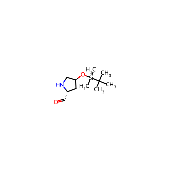 CC(C)(C)[Si](C)(C)O[C@@H]1CN[C@@H](C=O)C1